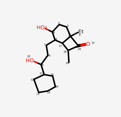 CCC12CCC(O)C(CCC(O)C3CCCCC3)C1C(C)C2=O